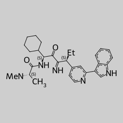 CC[C@H](C(=N)C(=O)[C@@H](NC(=O)[C@H](C)NC)C1CCCCC1)c1ccnc(-c2c[nH]c3ccccc23)c1